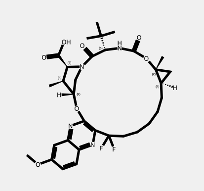 COc1ccc2nc3c(nc2c1)O[C@H]1CN(C(=O)[C@H](C(C)(C)C)NC(=O)O[C@]2(C)C[C@H]2CCCCCC3(F)F)[C@H](C(=O)O)[C@@H]1C